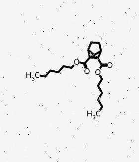 CCCCCCOC(=O)C1=C(C(=O)OCCCCCC)C2CCC1C2